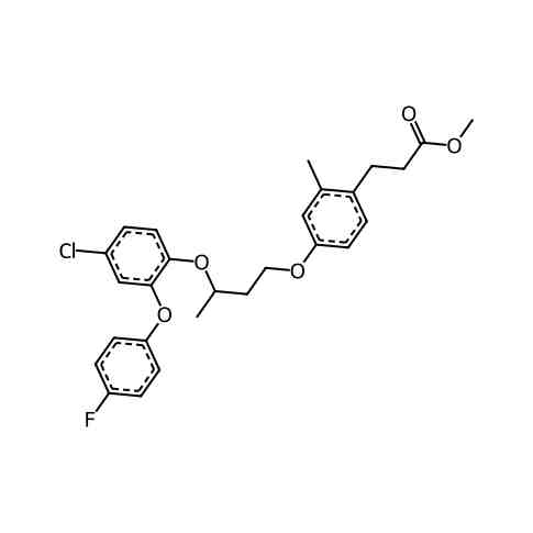 COC(=O)CCc1ccc(OCCC(C)Oc2ccc(Cl)cc2Oc2ccc(F)cc2)cc1C